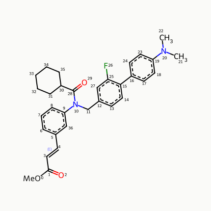 COC(=O)/C=C/c1cccc(N(Cc2ccc(-c3ccc(N(C)C)cc3)c(F)c2)C(=O)C2CCCCC2)c1